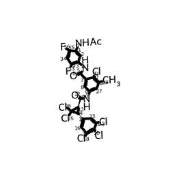 CC(=O)Nc1cc(NC(=O)c2cc(NC(=O)[C@H]3[C@H](c4cc(Cl)c(Cl)c(Cl)c4)C3(Cl)Cl)cc(C)c2Cl)c(F)cc1F